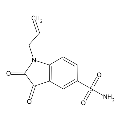 C=CCN1C(=O)C(=O)c2cc(S(N)(=O)=O)ccc21